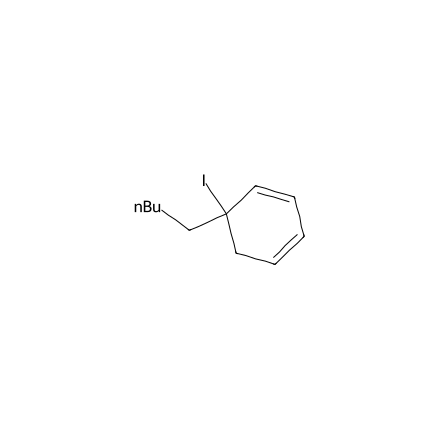 CCCCCC1(I)C=CC=CC1